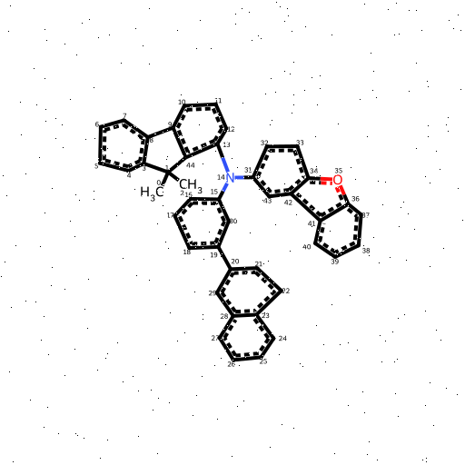 CC1(C)c2ccccc2-c2cccc(N(c3cccc(-c4ccc5ccccc5c4)c3)c3ccc4oc5ccccc5c4c3)c21